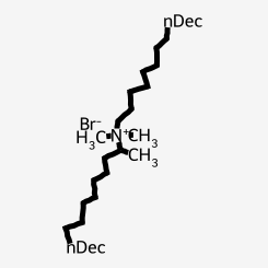 CCCCCCCCCCCCCCCCCC[N+](C)(C)C(C)CCCCCCCCCCCCCCCCC.[Br-]